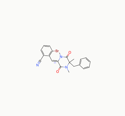 CN1C(=O)C(C)(Cc2ccccc2)N(C)C(=O)/C1=C/c1c(Br)cccc1C#N